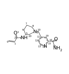 C=CC(=O)N[C@@H]1CCCN(Cc2ccnc(C(N)=O)c2)C1